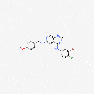 COc1ccc(CNc2cc3c(Nc4ccc(Cl)c(Br)c4)ncnc3cn2)cc1